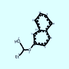 CC[C](O)Oc1ccc2ccccc2c1